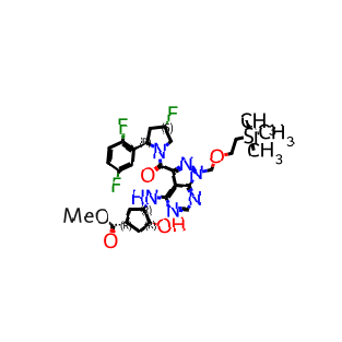 COC(=O)[C@H]1C[C@@H](O)[C@H](Nc2ncnc3c2c(C(=O)N2C[C@@H](F)C[C@@H]2c2cc(F)ccc2F)nn3COCC[Si](C)(C)C)C1